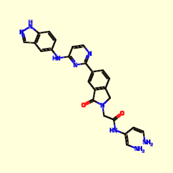 N/C=C\C(=C/N)NC(=O)CN1Cc2ccc(-c3nccc(Nc4ccc5[nH]ncc5c4)n3)cc2C1=O